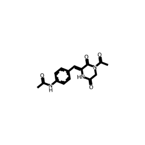 CC(=O)Nc1ccc(C=C2NC(=O)CN(C(C)=O)C2=O)cc1